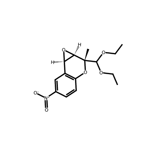 CCOC(OCC)[C@]1(C)Oc2ccc([N+](=O)[O-])cc2[C@H]2O[C@H]21